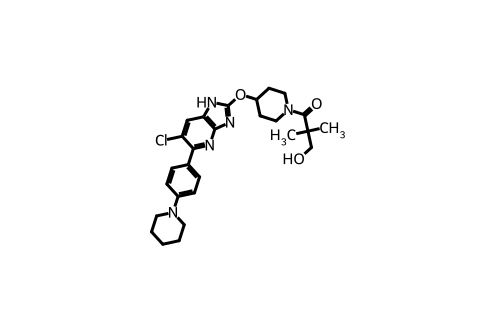 CC(C)(CO)C(=O)N1CCC(Oc2nc3nc(-c4ccc(N5CCCCC5)cc4)c(Cl)cc3[nH]2)CC1